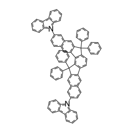 c1ccc(C2(c3ccccc3)c3cc4cc(-n5c6ccccc6c6ccccc65)ccc4cc3-c3c2ccc2c3C(c3ccccc3)(c3ccccc3)c3cc4cc(-n5c6ccccc6c6ccccc65)ccc4cc3-2)cc1